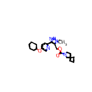 Cn1nnc(-c2ccc(OC3CCCCC3)cn2)c1COC(=O)N1CCC2(CCC2)C1